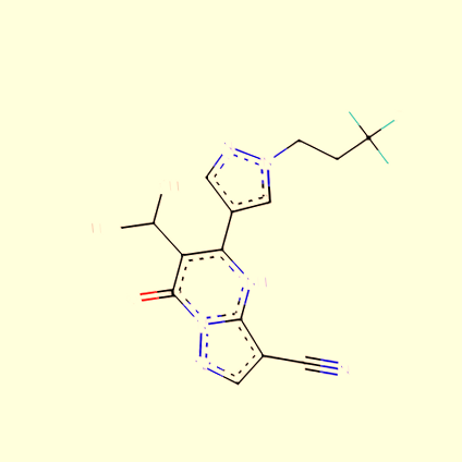 CC(C)c1c(-c2cnn(CCC(F)(F)F)c2)[nH]c2c(C#N)cnn2c1=O